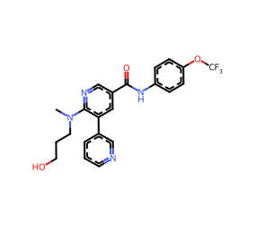 CN(CCCO)c1ncc(C(=O)Nc2ccc(OC(F)(F)F)cc2)cc1-c1cccnc1